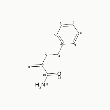 C=C(CCc1ccccc1)C(N)=O